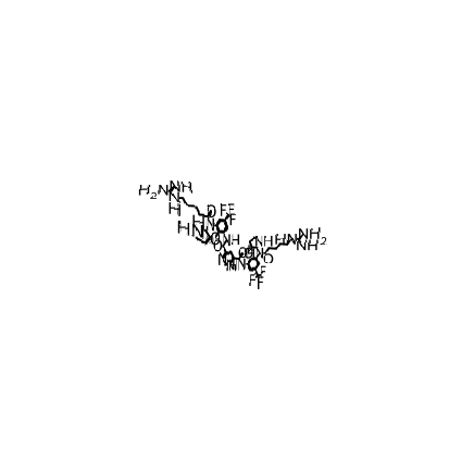 N=C(N)NCCCCC(=O)Nc1cc(C(F)(F)F)cc(NC(=O)c2cc(C(=O)Nc3cc(C(F)(F)F)cc(NC(=O)CCCCNC(=N)N)c3O[C@H]3CCNC3)ncn2)c1O[C@H]1CCNC1